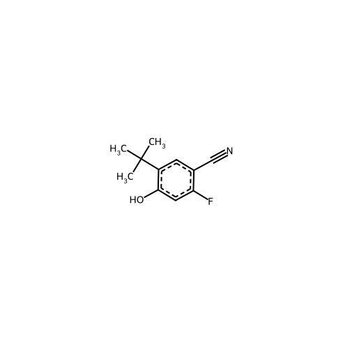 CC(C)(C)c1cc(C#N)c(F)cc1O